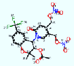 CC(=O)OC1C(n2cc(CO[N+](=O)[O-])c(CO[N+](=O)[O-])cc2=O)c2cc(C(F)(F)F)ccc2OC1(C)C